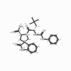 CC(C)(C)C[C@H](NC(=O)Nc1ccccc1)C(=O)N1C[C@]2(C[C@H]1C(N)=O)C(=O)Nc1ccccc12